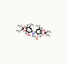 CC1=C[C@H](N(C)[C@H]2C=C(C)[C@H]3OC(C)(C)O[C@H]3[C@@H]2O)[C@@H](O)[C@@H]2OC(C)(C)O[C@H]12